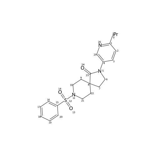 CC(C)c1ccc(N2CCC3(CCN(S(=O)(=O)c4ccccc4)CC3)C2=O)cn1